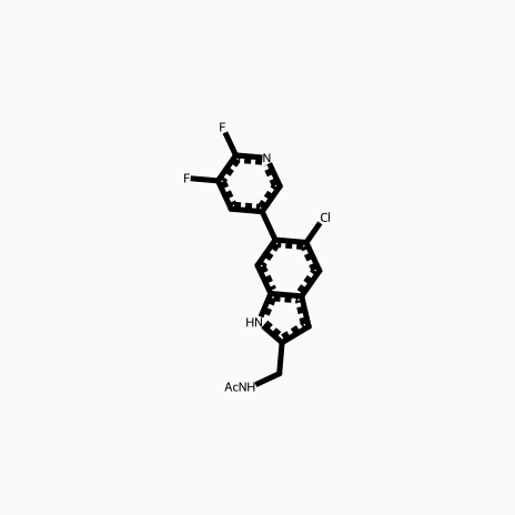 CC(=O)NCc1cc2cc(Cl)c(-c3cnc(F)c(F)c3)cc2[nH]1